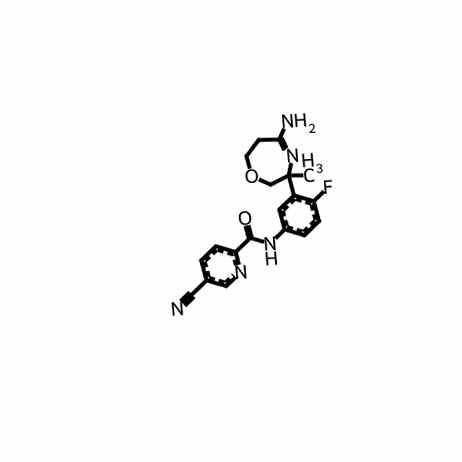 CC1(c2cc(NC(=O)c3ccc(C#N)cn3)ccc2F)COCCC(N)=N1